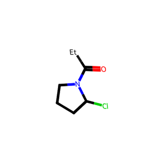 CCC(=O)N1CCCC1Cl